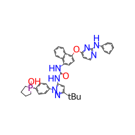 CC(C)(C)c1cc(NC(=O)Nc2ccc(Oc3ccnc(Nc4ccccc4)n3)c3ccccc23)n(-c2ccc([P]3(O)CCCC3)cc2)n1